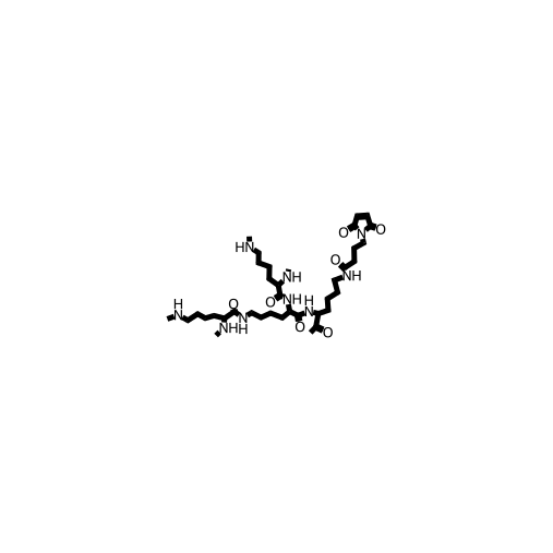 CNCCCCC(NC)C(=O)NCCCCC(NC(=O)C(CCCCNC)NC)C(=O)NC(CCCCNC(=O)CCCN1C(=O)C=CC1=O)C(C)=O